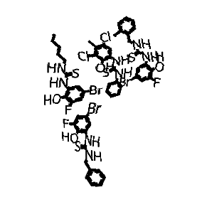 CCCCCNC(=S)Nc1cc(Br)cc(F)c1O.Cc1c(Cl)cc(NC(=S)Nc2ccccc2)c(O)c1Cl.Cc1ccccc1CNC(=S)Nc1cc(Br)cc(F)c1O.Oc1c(F)cc(Br)cc1NC(=S)NCc1ccccc1